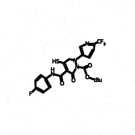 CC(C)(C)OC(=O)N1C(=O)C(C(=O)Nc2ccc(F)cc2)=C(S)CN1c1ccc(C(F)(F)F)nc1